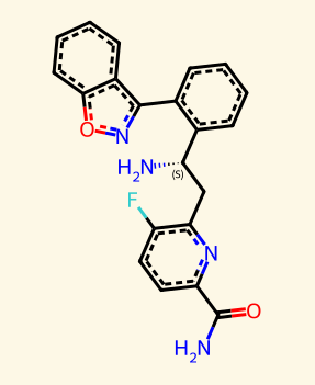 NC(=O)c1ccc(F)c(C[C@H](N)c2ccccc2-c2noc3ccccc23)n1